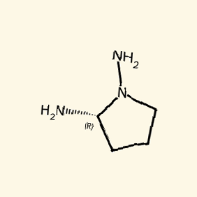 N[C@H]1CCCN1N